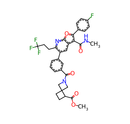 CNC(=O)c1c(-c2ccc(F)cc2)oc2nc(CCC(F)(F)F)c(-c3cccc(C(=O)N4CC5(CCC5C(=O)OC)C4)c3)cc12